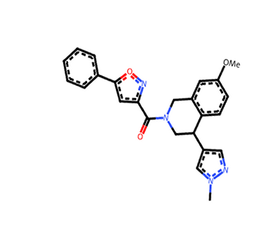 COc1ccc2c(c1)CN(C(=O)c1cc(-c3ccccc3)on1)CC2c1cnn(C)c1